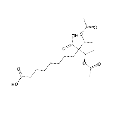 CC(=O)OC(C)C(CCCCCCCC(=O)O)(C(=O)O)C(C)OC(C)=O